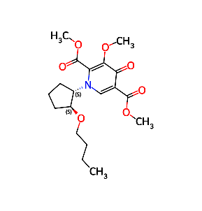 CCCCO[C@H]1CCC[C@@H]1n1cc(C(=O)OC)c(=O)c(OC)c1C(=O)OC